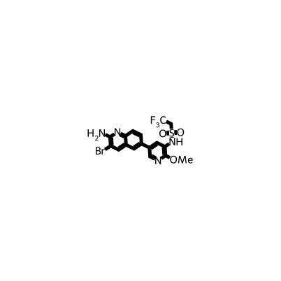 COc1ncc(-c2ccc3nc(N)c(Br)cc3c2)cc1NS(=O)(=O)CC(F)(F)F